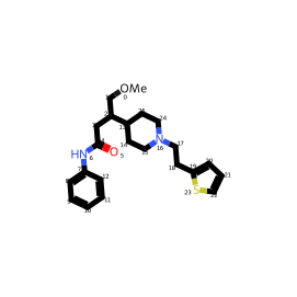 COCC(CC(=O)Nc1ccccc1)C1CCN(CCc2cccs2)CC1